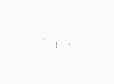 C=C(N)CN(C)C(=O)OC(C)(C)C